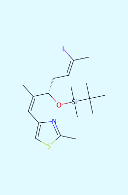 CC(I)=CC[C@H](O[Si](C)(C)C(C)(C)C)C(C)=Cc1csc(C)n1